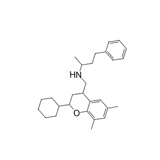 Cc1cc(C)c2c(c1)C(CNC(C)CCc1ccccc1)CC(C1CCCCC1)O2